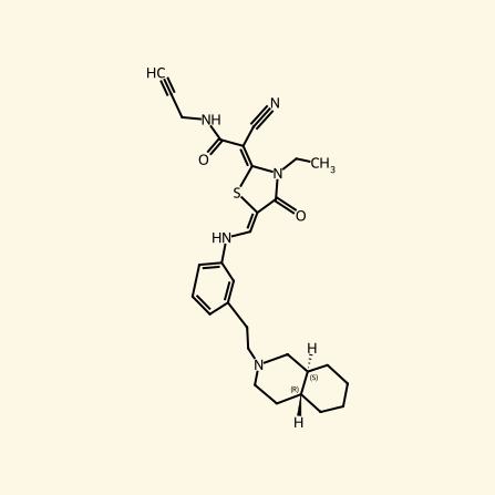 C#CCNC(=O)C(C#N)=c1sc(=CNc2cccc(CCN3CC[C@H]4CCCC[C@@H]4C3)c2)c(=O)n1CC